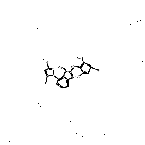 CCc1cc(CC)n(-c2cccc3nc(Nc4c(C)cc(Br)cc4OC)n(C)c23)n1